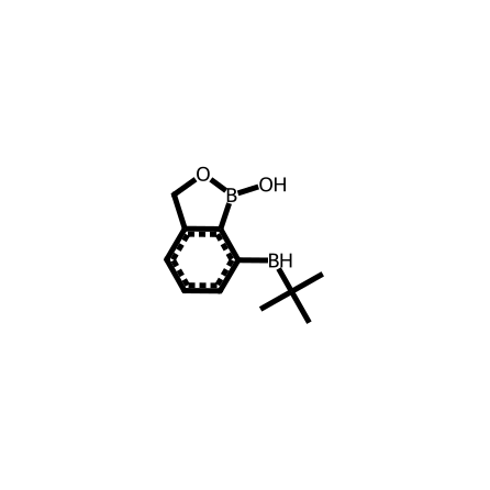 CC(C)(C)Bc1cccc2c1B(O)OC2